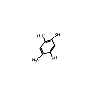 Cc1cc(C)c(S)cc1S